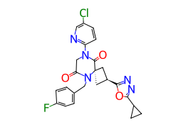 O=C1CN(c2ccc(Cl)cn2)C(=O)[C@]2(C[C@H](c3nnc(C4CC4)o3)C2)N1Cc1ccc(F)cc1